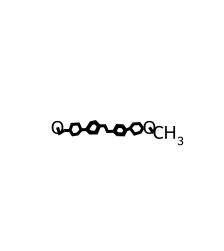 CCOC1CCC(c2ccc(CCc3ccc(C4CCC(C5CO5)CC4)cc3)cc2)CC1